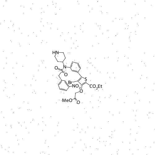 CCOC(=O)c1sc(-c2cccc(N(C3CCNCC3)S(=O)(=O)Cc3cccc([N+](=O)[O-])c3)c2)c(Br)c1OCC(=O)OC